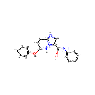 O=C(Nc1ccccc1)c1cnc2ccc(Oc3ccccc3)nn12